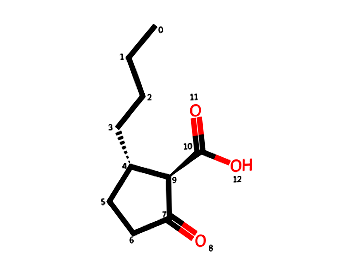 CCCC[C@H]1CCC(=O)[C@@H]1C(=O)O